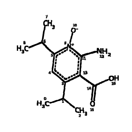 CC(C)c1cc(C(C)C)[n+]([O-])c(N)c1C(=O)O